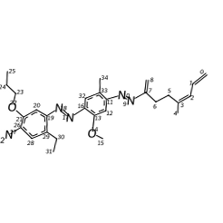 C=C/C=C(/C)CCC(=C)N=Nc1cc(OC)c(N=Nc2cc(OCCC)c(N)cc2CC)cc1C